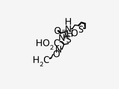 C=CCON=CC1=C(C(=O)O)N2C(=O)[C@@H](NC(=O)Cc3cccs3)[C@@H]2SC1